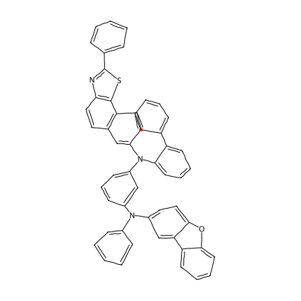 c1ccc(-c2nc3ccc4cc(N(c5cccc(N(c6ccccc6)c6ccc7oc8ccccc8c7c6)c5)c5ccccc5-c5ccccc5)ccc4c3s2)cc1